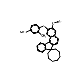 CCCOc1cc2ccc3c(c2cc1Sc1ccc(OC)cc1C)-c1ccccc1C31CCCCCCC1